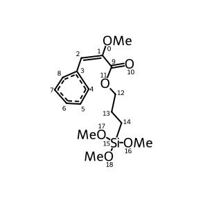 COC(=Cc1ccccc1)C(=O)OCCC[Si](OC)(OC)OC